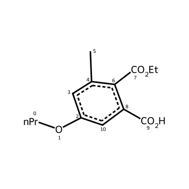 CCCOc1cc(C)c(C(=O)OCC)c(C(=O)O)c1